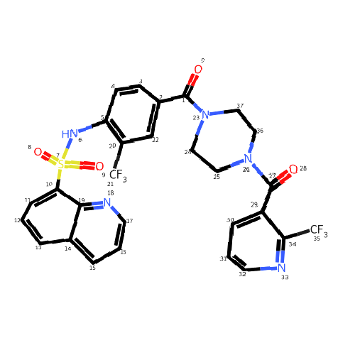 O=C(c1ccc(NS(=O)(=O)c2cccc3cccnc23)c(C(F)(F)F)c1)N1CCN(C(=O)c2cccnc2C(F)(F)F)CC1